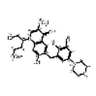 CCc1cc2c(cc1Cc1cc(N3CCOCC3)cc(Cl)c1F)c(=O)c(C(=O)O)cn2C(CO)CCOC